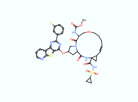 CC(C)(C)OC(=O)NC1COCCCC=CC2CC2(C(=O)NS(=O)(=O)C2CC2)NC(=O)C2CC(Oc3nc(-c4cccc(F)c4)nc4c3sc3ncccc34)CN2C1=O